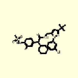 CC(C)(C)c1cc(CNC(=O)C(c2ccc(NS(C)(=O)=O)c(F)c2)C2CCCCC2)n(-c2cccc(Cl)c2)n1